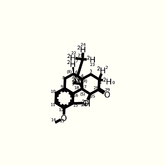 [2H]C1([2H])C[C@@]2([2H])[C@@]3([2H])Cc4ccc(OC)c5c4[C@@]2(CCN3C([2H])([2H])[2H])C([2H])(O5)C1=O